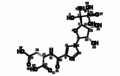 NC(O)([C@@H]1OC(n2cnc(C(=O)N[C@@H](CC(=O)O)C(=O)O)c2)[C@@H](O)[C@H]1O)P(=O)(O)O